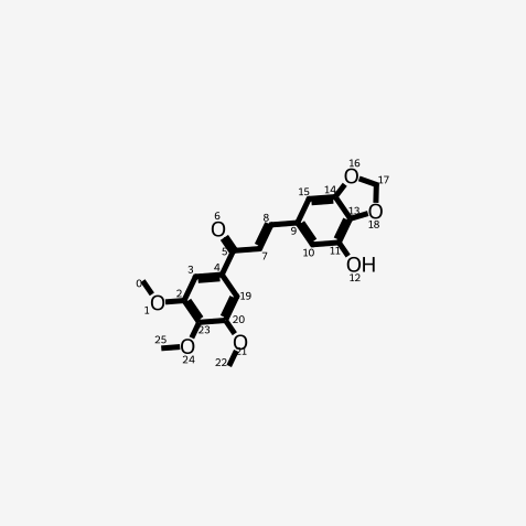 COc1cc(C(=O)/C=C/c2cc(O)c3c(c2)OCO3)cc(OC)c1OC